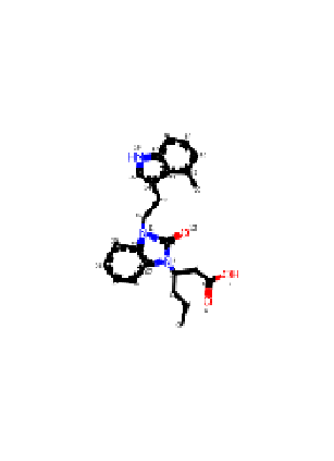 CCCC(CC(=O)O)n1c(=O)n(CCc2c[nH]c3cccc(C)c23)c2ccccc21